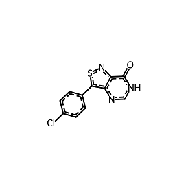 O=c1[nH]cnc2c(-c3ccc(Cl)cc3)snc12